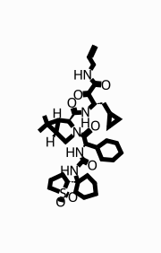 C=CCNC(=O)C(=O)[C@H](CC1CC1)NC(=O)[C@@H]1[C@@H]2[C@H](CN1C(=O)[C@@H](NC(=O)NC1([C@H]3CCCS3(=O)=O)CCCCC1)C1CCCCC1)C2(C)C